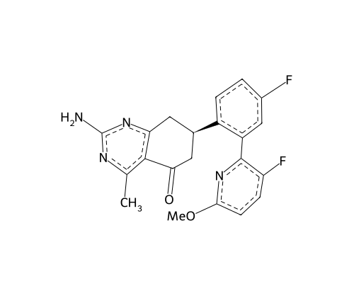 COc1ccc(F)c(-c2cc(F)ccc2[C@H]2CC(=O)c3c(C)nc(N)nc3C2)n1